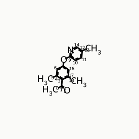 CC(=O)c1c(C)cc(Oc2ccc(C)cn2)cc1C